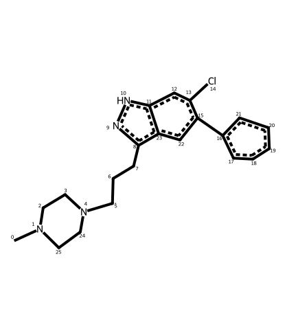 CN1CCN([CH]CCc2n[nH]c3cc(Cl)c(-c4ccccc4)cc23)CC1